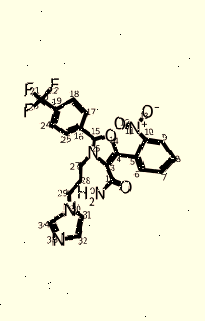 NC(=O)C1=C(c2ccccc2[N+](=O)[O-])OC(c2ccc(C(F)(F)F)cc2)N1CCCn1ccnc1